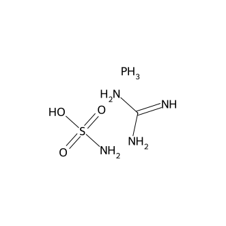 N=C(N)N.NS(=O)(=O)O.P